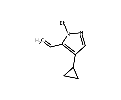 C=Cc1c(C2CC2)cnn1CC